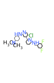 CN(C)[C@H]1CC[C@H](Nc2cc(-c3cccc(NCc4cc(F)cc(F)c4)n3)c(Cl)cn2)CC1